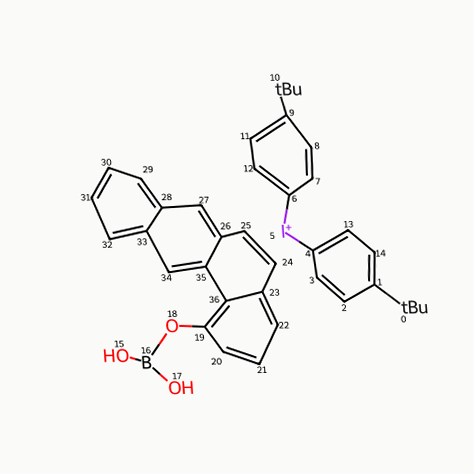 CC(C)(C)c1ccc([I+]c2ccc(C(C)(C)C)cc2)cc1.OB(O)Oc1cccc2ccc3cc4ccccc4cc3c12